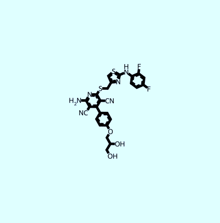 N#Cc1c(N)nc(SCc2csc(Nc3ccc(F)cc3F)n2)c(C#N)c1-c1ccc(OCC(O)CO)cc1